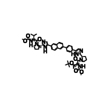 COC(=O)N[C@H](C(=O)N1CCC[C@H]1c1ncc(-c2ccc3cc(-c4ccc(-c5cnc(C6CCCN6C(=O)[C@@H](NC(=O)OC)[C@@H](C)OC(C)(C)C)[nH]5)cc4)ccc3c2)[nH]1)C(C)C